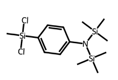 C[Si](Cl)(Cl)c1ccc(N([Si](C)(C)C)[Si](C)(C)C)cc1